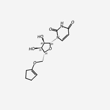 O=c1ccn([C@@H]2O[C@H](COC3=CCCC3)[C@@H](O)[C@H]2O)c(=O)[nH]1